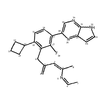 C=C(/C=C(C)\N=C/C)Cc1c(C2CCC2)ccc(-c2cnc3[nH]ccc3n2)c1F